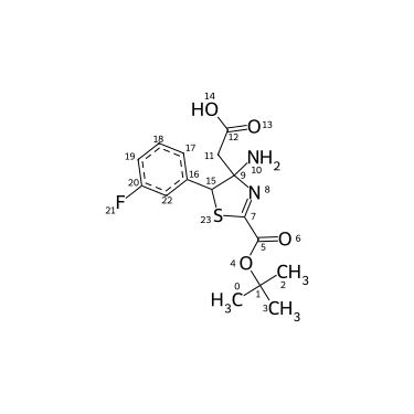 CC(C)(C)OC(=O)C1=NC(N)(CC(=O)O)C(c2cccc(F)c2)S1